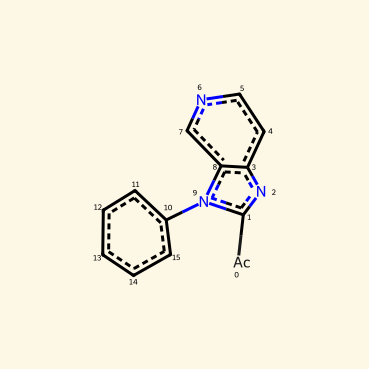 CC(=O)c1nc2ccncc2n1-c1ccccc1